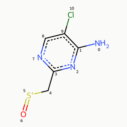 Nc1nc(C[S+]=O)ncc1Cl